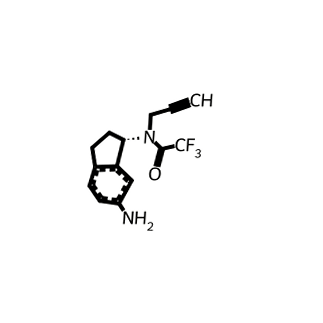 C#CCN(C(=O)C(F)(F)F)[C@H]1CCc2ccc(N)cc21